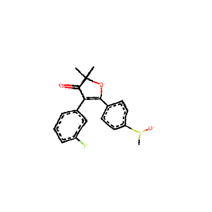 C[S+]([O-])c1ccc(C2=C(c3cccc(F)c3)C(=O)C(C)(C)O2)cc1